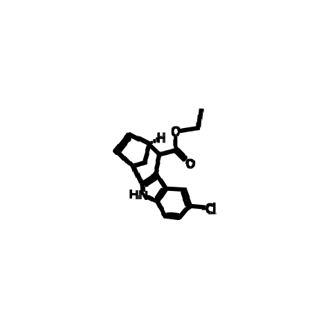 CCOC(=O)C1c2c([nH]c3ccc(Cl)cc23)C2C=C[C@@H]1C2